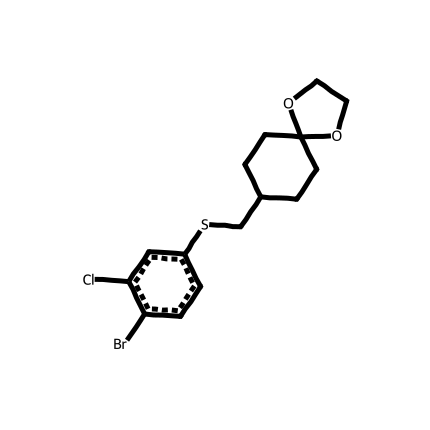 Clc1cc(SCC2CCC3(CC2)OCCO3)ccc1Br